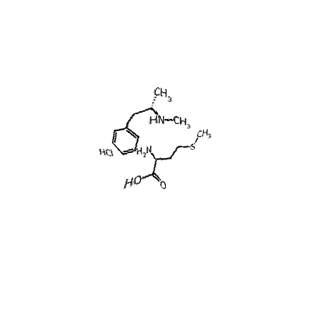 CN[C@@H](C)Cc1ccccc1.CSCCC(N)C(=O)O.Cl